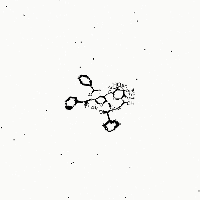 CC(=O)C(O)[C@H]1O[C@@H](O[C@@H]2[C@@H](SC(=O)c3ccccc3)[C@H](SC(=O)c3ccccc3)[C@@H](O)O[C@@H]2CSC(=O)c2ccccc2)[C@@](O)(C(C)=O)[C@](O)(C(C)=O)[C@]1(O)C(C)=O